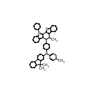 CC1C=CC(N(c2ccc(C3c4c(n(-c5ccccc5)c5ccccc45)-c4sc5ccccc5c4C3C)cc2)c2ccc3c(c2)C(C)(C)c2ccccc2-3)=CC1